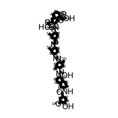 COc1cc(C(=O)Nc2ccc3c(O)c(N=Nc4cc(C)c(N=Nc5ccc(N=Nc6ccc(N=Nc7cc8c(S(=O)(=O)O)cccc8cc7S(=O)(=O)O)c(C)c6)c(C)c5)cc4C)ccc3c2)ccc1O